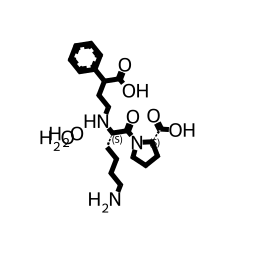 NCCCC[C@H](NCCC(C(=O)O)c1ccccc1)C(=O)N1CCC[C@H]1C(=O)O.O.O